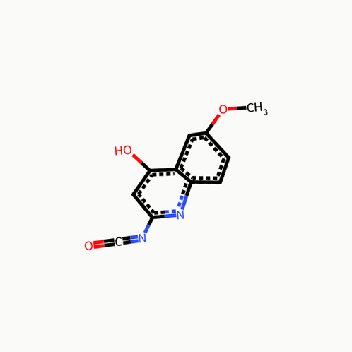 COc1ccc2nc(N=C=O)cc(O)c2c1